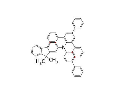 CC1(C)c2ccccc2-c2ccc(N(c3ccc(-c4ccccc4)cc3)c3c(-c4ccccc4)cc(-c4ccccc4)cc3-c3ccccc3)cc21